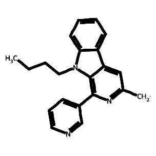 [CH2]c1cc2c3ccccc3n(CCCC)c2c(-c2cccnc2)n1